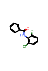 O=C(Nc1c(Cl)cccc1Cl)c1ccccc1